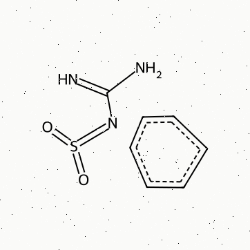 N=C(N)N=S(=O)=O.c1ccccc1